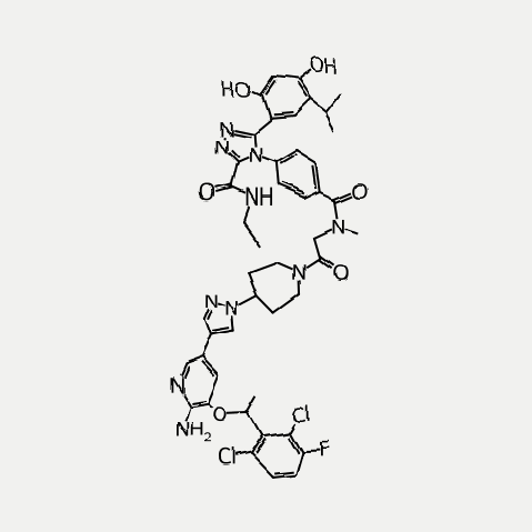 CCNC(=O)c1nnc(-c2cc(C(C)C)c(O)cc2O)n1-c1ccc(C(=O)N(C)CC(=O)N2CCC(n3cc(-c4cnc(N)c(OC(C)c5c(Cl)ccc(F)c5Cl)c4)cn3)CC2)cc1